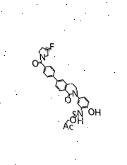 CC(=O)COSNc1cc(N2CCc3cc(-c4ccc(C(=O)N5CC[C@@H](F)C5)cc4)ccc3C2=O)ccc1O